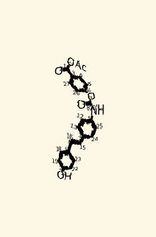 CC(=O)OC(=O)c1ccc(OC(=O)Nc2ccc(C=Cc3ccc(O)cc3)cc2)cc1